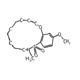 COc1ccc2c(c1)OCCCCCCCCCN(C)S2(=O)=O